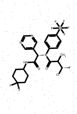 CC(C(=O)N(c1ccc(S(F)(F)(F)(F)F)cc1)[C@H](C(=O)NC1CCC(F)(F)CC1)c1cncnc1)[C@H](F)Cl